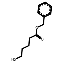 O=C(CCCCS)OCc1ccccc1